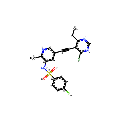 CCc1ncnc(Cl)c1C#Cc1cnc(C)c(NS(=O)(=O)c2ccc(F)cc2)c1